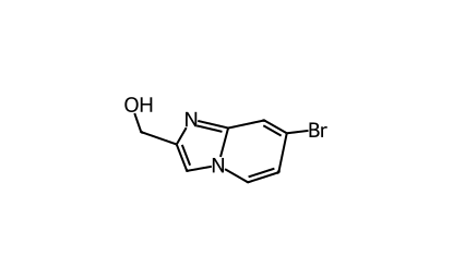 OCc1cn2ccc(Br)cc2n1